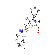 [O]CC(=O)N[C@@H](C(=O)NCC(=O)Nc1ccc([N+](=O)[O-])cc1)c1ccccc1